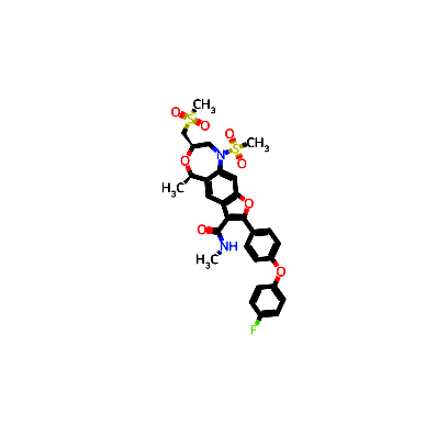 CNC(=O)c1c(-c2ccc(Oc3ccc(F)cc3)cc2)oc2cc3c(cc12)[C@@H](C)O[C@@H](CS(C)(=O)=O)CN3S(C)(=O)=O